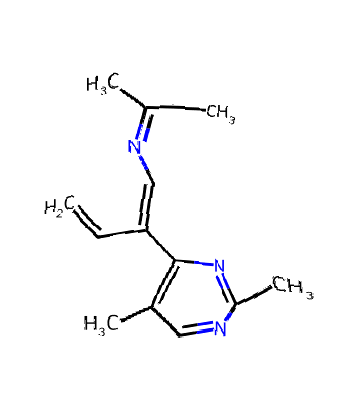 C=C/C(=C\N=C(C)C)c1nc(C)ncc1C